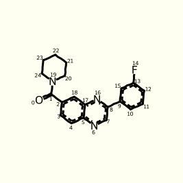 O=C(c1ccc2ncc(-c3cccc(F)c3)nc2c1)N1CCCCC1